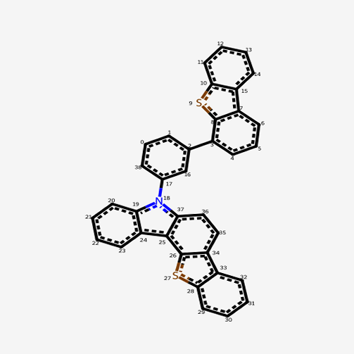 c1cc(-c2cccc3c2sc2ccccc23)cc(-n2c3ccccc3c3c4sc5ccccc5c4ccc32)c1